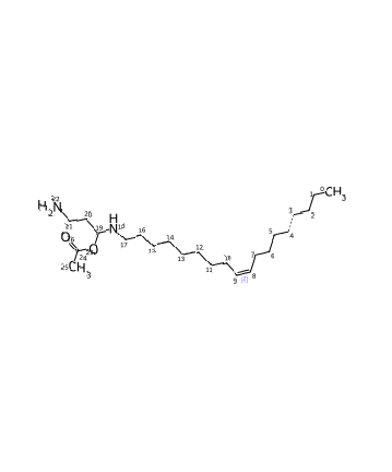 CCCCCCCC/C=C\CCCCCCCCNC(CCN)OC(C)=O